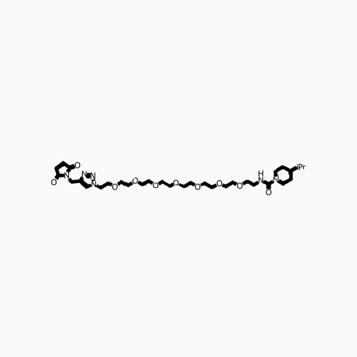 CC(C)C1CCN(C(=O)NCCOCCOCCOCCOCCOCCOCCOCCn2cc(CN3C(=O)C=CC3=O)nn2)CC1